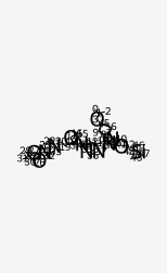 CC(C)Oc1ccc2c(c1)c(-c1cc(N3CCOC(CCN4CCN(C(=O)OC(C)(C)C)CC4)C3)ncn1)nn2COCC[Si](C)(C)C